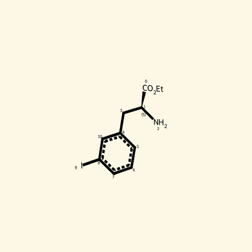 CCOC(=O)[C@@H](N)Cc1cccc(I)c1